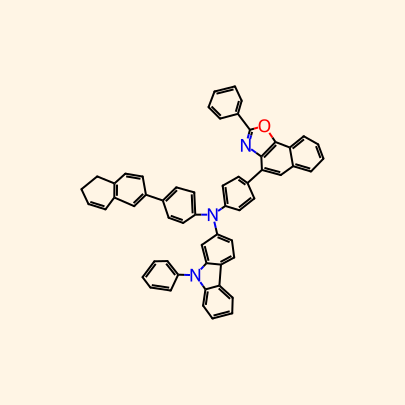 C1=Cc2cc(-c3ccc(N(c4ccc(-c5cc6ccccc6c6oc(-c7ccccc7)nc56)cc4)c4ccc5c6ccccc6n(-c6ccccc6)c5c4)cc3)ccc2CC1